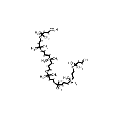 CC(C)(CCO)OCCC[Si](C)(C)CCCC(C)(C)OCCC(C)(C)OCCC[Si](C)(C)CCCOC(C)(C)CCOC(C)(C)CCC(=O)O